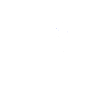 CCCCC1CCC(c2ccc(-c3cnc(Cl)nc3)cc2)CC1